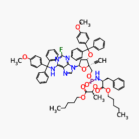 C#C[C@]1(COP(=O)(N[C@@H](Cc2ccccc2)C(=O)OCCCCC)O[C@@H](C)C(=O)OCCCCC)O[C@@H](n2cnc3c(NC(c4ccccc4)(c4ccccc4)c4ccc(OC)cc4)nc(F)nc32)C[C@@H]1OC(c1ccccc1)(c1ccccc1)c1ccc(OC)cc1